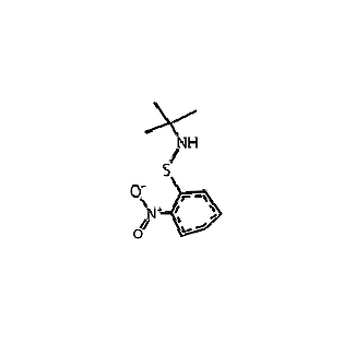 CC(C)(C)NSc1ccccc1[N+](=O)[O-]